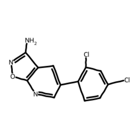 Nc1noc2ncc(-c3ccc(Cl)cc3Cl)cc12